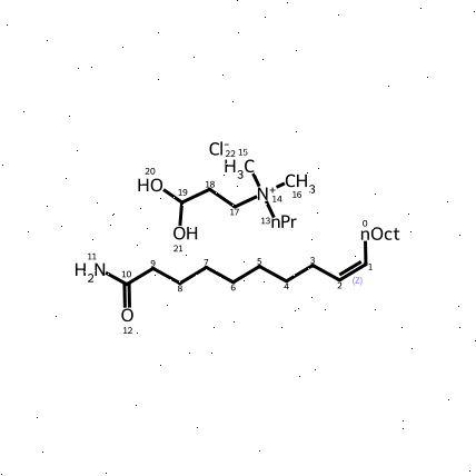 CCCCCCCC/C=C\CCCCCCCC(N)=O.CCC[N+](C)(C)CCC(O)O.[Cl-]